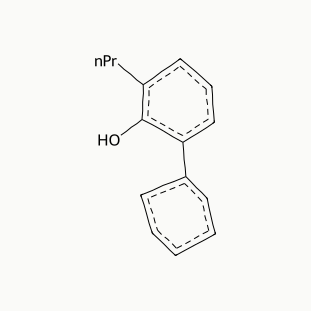 CCCc1cccc(-c2ccccc2)c1O